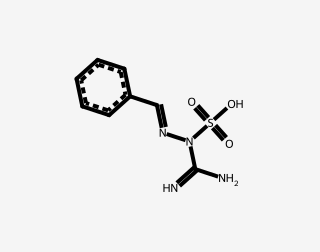 N=C(N)N(N=Cc1ccccc1)S(=O)(=O)O